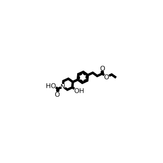 CCOC(=O)CCc1ccc(C2CCN(C(=O)O)CC2O)cc1